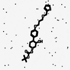 CC(C)(C)OC(=O)ON1CCC(c2ccc(OCCCOCc3cccs3)cc2)C(O)C1